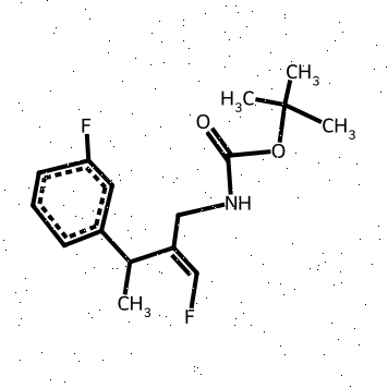 CC(/C(=C\F)CNC(=O)OC(C)(C)C)c1cccc(F)c1